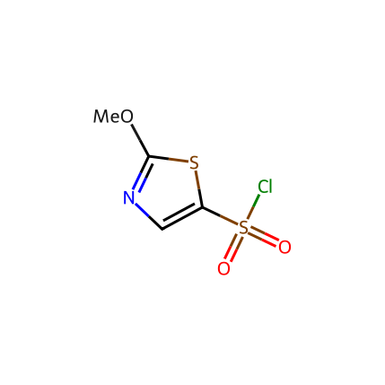 COc1ncc(S(=O)(=O)Cl)s1